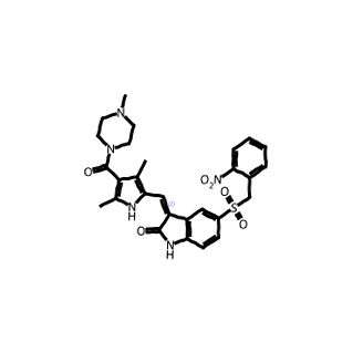 Cc1[nH]c(/C=C2\C(=O)Nc3ccc(S(=O)(=O)Cc4ccccc4[N+](=O)[O-])cc32)c(C)c1C(=O)N1CCN(C)CC1